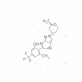 Cc1cc(C(F)(F)F)cc(O)c1-c1cnc2cn([C@H]3CCO[C@H](C)C3)nc2n1